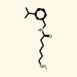 CC(C)c1cccc(CNC(=O)CCCCCN)c1